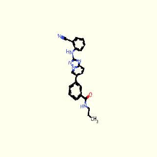 CCCNC(=O)c1cccc(-c2ccc3nc(Nc4ccccc4C#N)nn3c2)c1